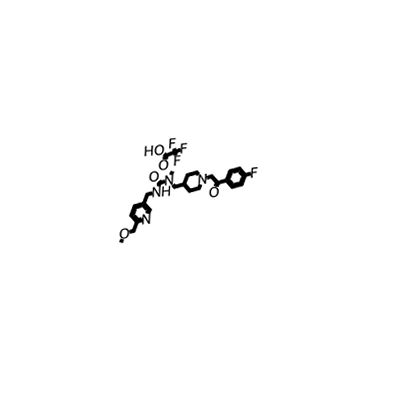 COCc1ccc(CNC(=O)N(C)CC2CCN(CC(=O)c3ccc(F)cc3)CC2)cn1.O=C(O)C(F)(F)F